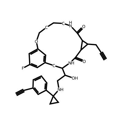 C#CCC1C2C(=O)NCCCCOc3cc(F)cc(c3)CC(C(O)CNC3(c4cccc(C#C)c4)CC3)NC(=O)C12